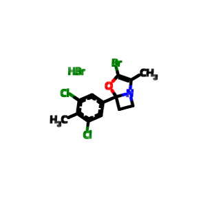 Br.CC1=C(Br)OC2(c3cc(Cl)c(C)c(Cl)c3)CCN12